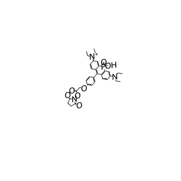 CCN(CC)c1ccc2c(c1)P(=O)(O)C1=CC(=[N+](CC)CC)C=CC1=C2c1ccc(OCC(=O)ON2C(=O)CCC2=O)cc1